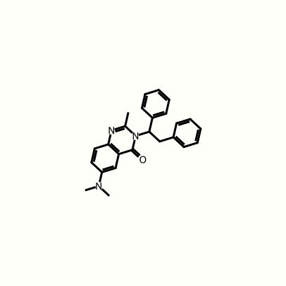 Cc1nc2ccc(N(C)C)cc2c(=O)n1C(Cc1ccccc1)c1ccccc1